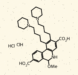 COC1Nc2cc(C(=O)O)c(CCCCN3CCCCC3)c(CCCCN3CCCCC3)c2-c2ccc(C(=O)O)cc21.Cl.Cl